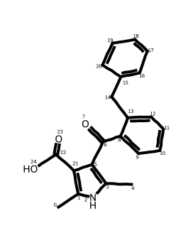 Cc1[nH]c(C)c(C(=O)c2ccccc2Cc2ccccc2)c1C(=O)O